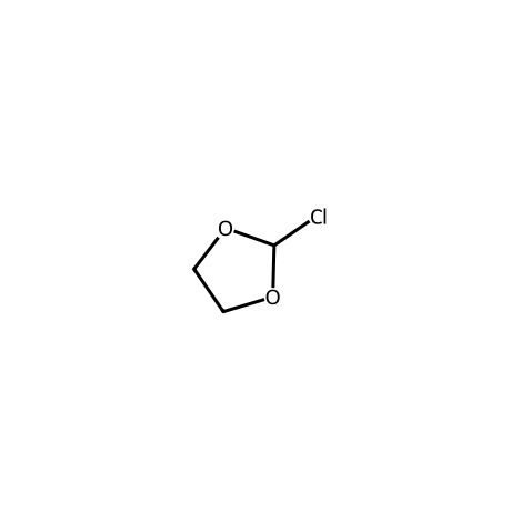 ClC1OCCO1